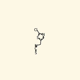 S=C=NCc1cnc(Cl)s1